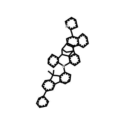 CC1(C)c2ccc(-c3ccccc3)cc2-c2cccc(N(c3cccc(-c4ccc(-c5ccccn5)c5ccccc45)c3)c3ccccc3C3CC4CCC3C4)c21